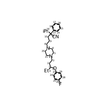 CCC(CCN1CCN(CCCC(C#N)(c2ccccc2)C(C)C)CC1)Oc1ccc(F)cc1